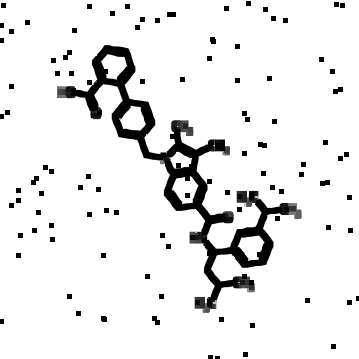 Cc1c(C)n(Cc2ccc(-c3ccccc3C(=O)O)cc2)c2ccc(C(=O)NC(CC(C)C)c3cccc(C(C)C)c3)cc12